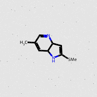 CSC1=CC2N=CC(C)=CC2N1